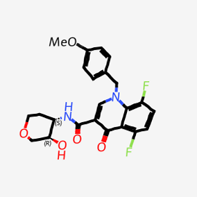 COc1ccc(Cn2cc(C(=O)N[C@H]3CCOC[C@@H]3O)c(=O)c3c(F)ccc(F)c32)cc1